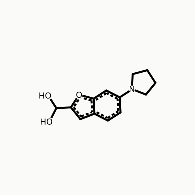 OC(O)c1cc2ccc(N3CCCC3)cc2o1